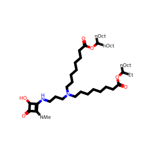 CCCCCCCCC(CC)OC(=O)CCCCCCCN(CCCCCCCC(=O)OC(CCCCCCCC)CCCCCCCC)CCCNC1=C(NC)C(=O)C1O